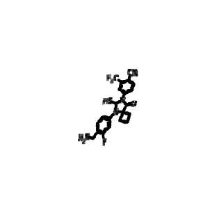 N#Cc1ccc(N2C(=O)C3(CCC3)N(c3ccc(CN)c(F)c3)C2S)cc1C(F)(F)F